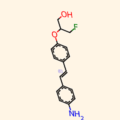 Nc1ccc(/C=C/c2ccc(OC(CO)CF)cc2)cc1